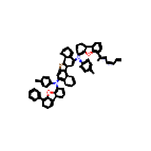 C=C/C=C\C=C(/C)c1cccc2c1oc1c(N(c3ccc(C)cc3)c3cc4c(sc5cc(N(c6ccc(C)cc6)c6cccc7c6oc6c(-c8ccccc8)cccc67)c6ccccc6c54)c4ccccc34)cccc12